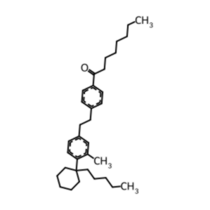 CCCCCCCC(=O)c1ccc(CCc2ccc(C3(CCCCC)CCCCC3)c(C)c2)cc1